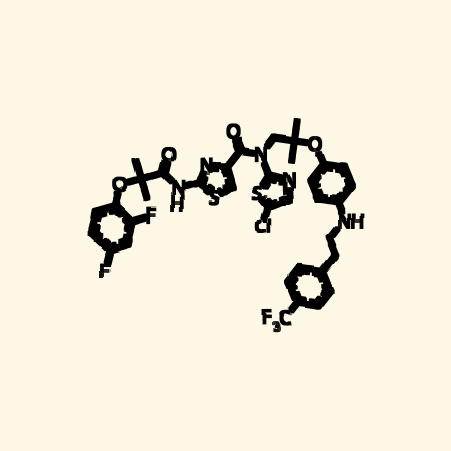 CC(C)(CN(C(=O)c1csc(NC(=O)C(C)(C)Oc2ccc(F)cc2F)n1)c1ncc(Cl)s1)Oc1ccc(NCCc2ccc(C(F)(F)F)cc2)cc1